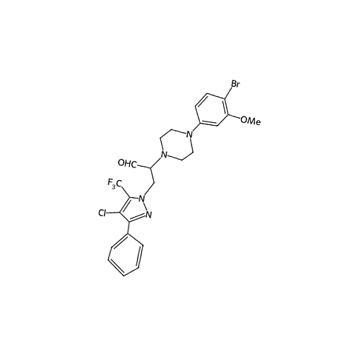 COc1cc(N2CCN(C(C=O)Cn3nc(-c4ccccc4)c(Cl)c3C(F)(F)F)CC2)ccc1Br